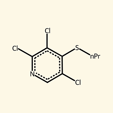 CCCSc1c(Cl)cnc(Cl)c1Cl